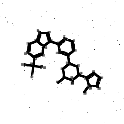 CC1CN(c2ccnc(-c3cnc4cnc(C(F)(F)F)cn34)n2)CC(c2ccnn2C)N1